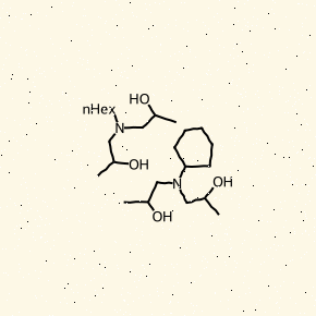 CC(O)CN(CC(C)O)C1CCCCC1.CCCCCCN(CC(C)O)CC(C)O